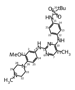 COc1cc(Nc2ncc(C)c(Nc3ccc(NS(=O)(=O)C(C)(C)C)cc3)n2)ccc1N1CCN(C)CC1